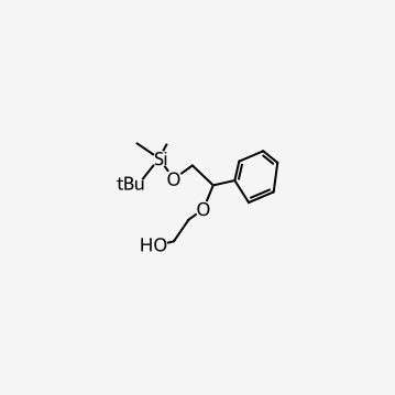 CC(C)(C)[Si](C)(C)OCC(OCCO)c1ccccc1